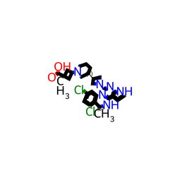 C[C@@H](Nc1nc(N2CC([C@H]3CCCN(C4CC(C)(C(=O)O)C4)C3)C2)nc2[nH]ccc12)c1ccc(Cl)cc1Cl